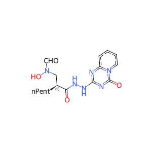 CCCCC[C@@H](CN(O)C=O)C(=O)NNc1nc(=O)n2ccccc2n1